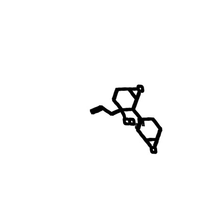 C=CCC1(C(=O)O)CCC2OC2C1C1CCC2OC2C1